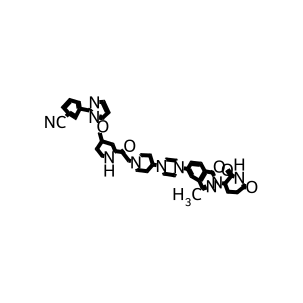 Cc1nn(C2CCC(=O)NC2=O)c(=O)c2ccc(N3CCN(C4CCN(CC(=O)C5CC(COc6ccnc(-c7cccc(C#N)c7)n6)CCN5)CC4)CC3)cc12